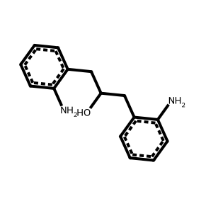 Nc1ccccc1CC(O)Cc1ccccc1N